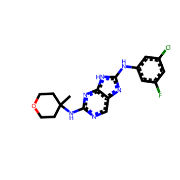 CC1(Nc2ncc3nc(Nc4cc(F)cc(Cl)c4)[nH]c3n2)CCOCC1